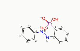 O=P(O)(O)c1ccccc1N=Nc1ccccc1